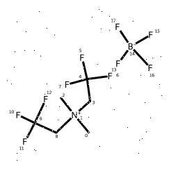 C[N+](C)(CC(F)(F)F)CC(F)(F)F.F[B-](F)(F)F